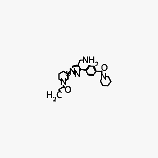 C=CC(=O)N1CCC[C@@H](n2cc(CN)c(-c3ccc(C(=O)N4CCCCC4)cc3)n2)C1